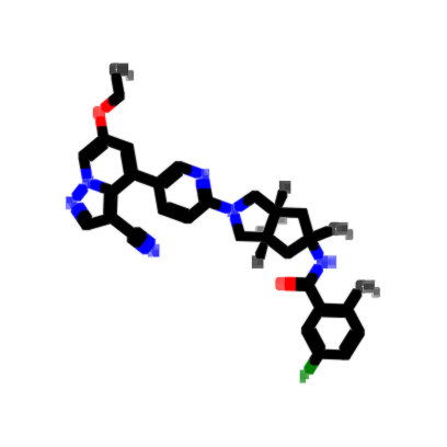 CCOc1cc(-c2ccc(N3C[C@@H]4CC(C)(NC(=O)c5cc(F)ccc5C)C[C@@H]4C3)nc2)c2c(C#N)cnn2c1